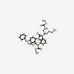 CC(C)(C)OC(=O)NC[C@@H](CCCO)n1c(=O)n(-c2ccc(Oc3ccccc3)cc2)c2c(N(C(=O)OC(C)(C)C)C(=O)OC(C)(C)C)nccc21